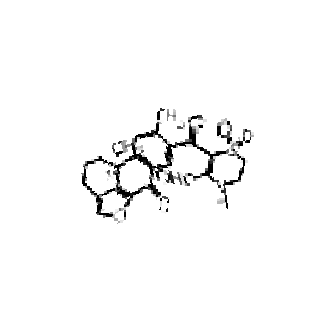 Cc1cc2c(cc1C(=O)C1=C(C=O)NCCS1(=O)=O)C(=O)c1occ3c1[C@@]2(C)CCC3